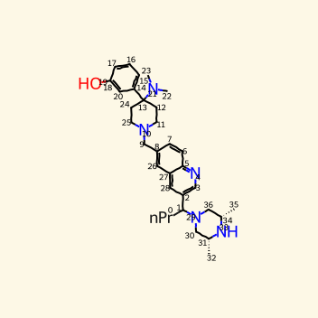 CCCC(c1cnc2ccc(CN3CCC(c4cccc(O)c4)(N(C)C)CC3)cc2c1)N1C[C@@H](C)N[C@@H](C)C1